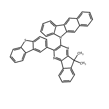 CC1(C)c2ccccc2-c2nc(-c3ccc4sc5ccccc5c4c3)c(-n3c4ccccc4c4cc5ccccc5cc43)nc21